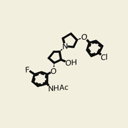 CC(=O)Nc1ccc(F)cc1O[C@@H]1CC[C@H](N2CC[C@H](Oc3ccc(Cl)cc3)C2)C1O